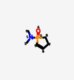 CN(C)P1(=O)C=CCC1